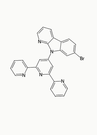 Brc1ccc2c3cccnc3n(-c3cc(-c4ccccn4)nc(-c4ccccn4)c3)c2c1